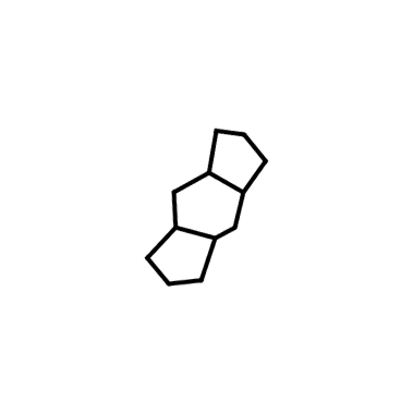 C1CC2CC3CCCC3CC2C1